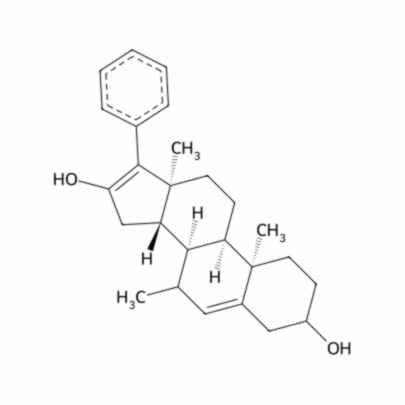 CC1C=C2CC(O)CC[C@]2(C)[C@@H]2CC[C@]3(C)C(c4ccccc4)=C(O)C[C@H]3[C@H]12